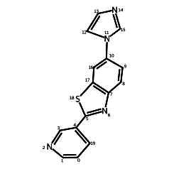 c1cncc(-c2nc3ccc(-n4ccnc4)cc3s2)c1